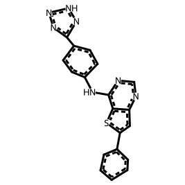 c1ccc(-c2cc3ncnc(Nc4ccc(-c5nn[nH]n5)cc4)c3s2)cc1